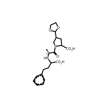 C[C@H](NC(CCc1ccccc1)C(=O)O)C(=O)N1CC(C2OCCO2)CC1C(=O)O